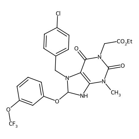 CCOC(=O)Cn1c(=O)c2c(n(C)c1=O)NC(Oc1cccc(OC(F)(F)F)c1)N2Cc1ccc(Cl)cc1